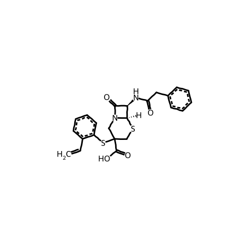 C=Cc1ccccc1SC1(C(=O)O)CS[C@@H]2[C@H](NC(=O)Cc3ccccc3)C(=O)N2C1